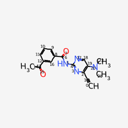 C#Cc1nc(NC(=O)c2cccc(C(C)=O)c2)ncc1N(C)C